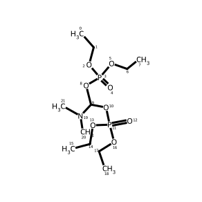 CCOP(=O)(OCC)OC(OP(=O)(OCC)OCC)N(C)C